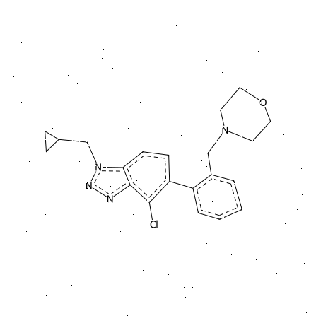 Clc1c(-c2ccccc2CN2CCOCC2)ccc2c1nnn2CC1CC1